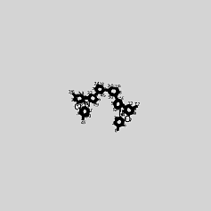 Cc1ccc2c(c1)Oc1cc(C)cc3c4cc(-c5cccc(-c6cccc(-c7ccc8c(c7)c7cc(C)cc9c7n8-c7ccc(C)cc7O9)c6)c5)ccc4n-2c13